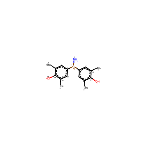 CC(C)(C)c1cc([SH](N)c2cc(C(C)(C)C)c(O)c(C(C)(C)C)c2)cc(C(C)(C)C)c1O